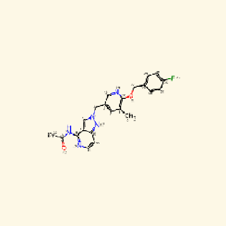 Cc1cc(Cn2cc3c(NC(=O)C(C)C)nccc3n2)cnc1OCc1ccc(F)cc1